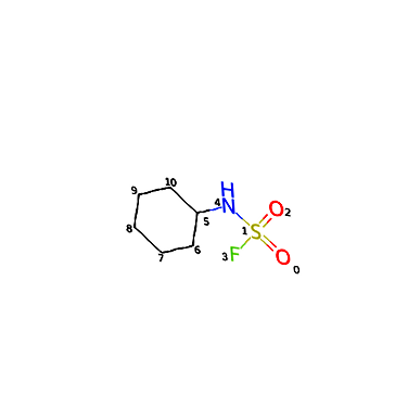 O=S(=O)(F)NC1CCCCC1